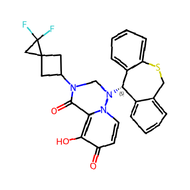 O=C1c2c(O)c(=O)ccn2N([C@H]2c3ccccc3CSc3ccccc32)CN1C1CC2(C1)CC2(F)F